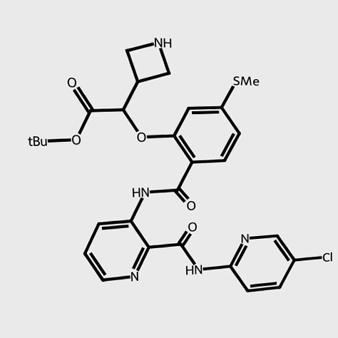 CSc1ccc(C(=O)Nc2cccnc2C(=O)Nc2ccc(Cl)cn2)c(OC(C(=O)OC(C)(C)C)C2CNC2)c1